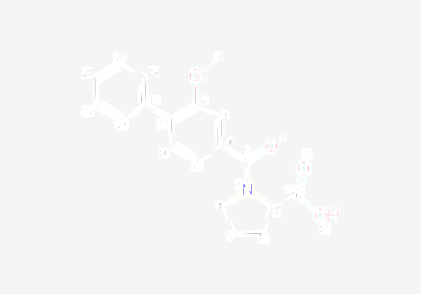 COc1cc(C(=O)N2CCCC2C(=O)O)ccc1-c1ccccc1